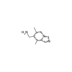 Cc1cn2cncc2c(C)c1CN